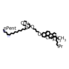 CCCCC/C=C\C/C=C\CCCCCCCCOCC(CN1CCOCC1)OCCCCO[C@H]1CC[C@@]2(C)C(=CCC3C2CC[C@@]2(C)C3CC[C@@H]2[C@H](C)CCCC(C)C)C1